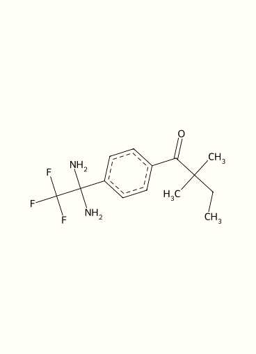 CCC(C)(C)C(=O)c1ccc(C(N)(N)C(F)(F)F)cc1